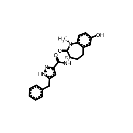 CN1C(=O)[C@@H](NC(=O)c2cc(Cc3ccccc3)[nH]n2)CCc2cc(O)ccc21